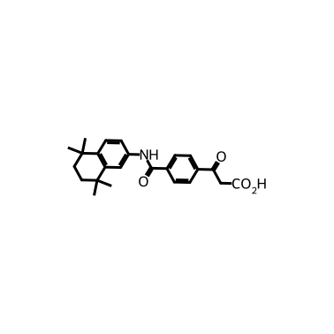 CC1(C)CCC(C)(C)c2cc(NC(=O)c3ccc(C(=O)CC(=O)O)cc3)ccc21